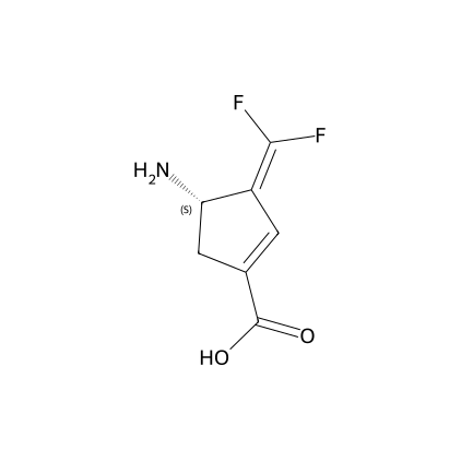 N[C@H]1CC(C(=O)O)=CC1=C(F)F